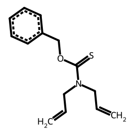 C=CCN(CC=C)C(=S)OCc1ccccc1